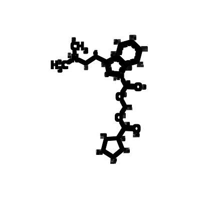 CN(C)CCc1cn(C(=O)OCOC(=O)C2CCCC2)c2ccccc12